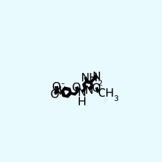 CCOc1nc(NC(=O)Cc2ccc([N+](=O)[O-])cc2)cc(N)c1C#N